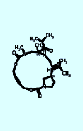 CC(C)N[C@]12CCN(C1)C(=O)OCC=CCOC(=O)N(C)C[C@](C)(C(=O)C(C)C)NCC2=O